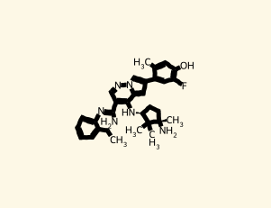 CCc1ccccc1/N=C(\N)c1cnn2cc(-c3cc(F)c(O)cc3C)cc2c1N[C@@H]1CC[C@](C)(N)C1(C)C